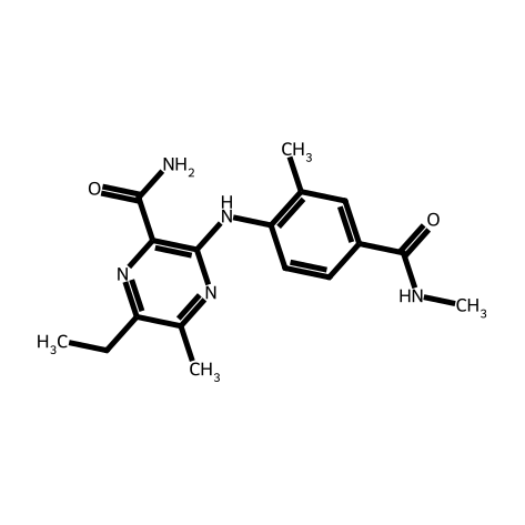 CCc1nc(C(N)=O)c(Nc2ccc(C(=O)NC)cc2C)nc1C